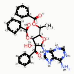 CC(OC(=O)c1ccccc1)[C@H]1O[C@@H](n2cnc3c(N)ncnc32)[C@@](O)(C(=O)c2ccccc2)[C@@H]1OC(=O)c1ccccc1